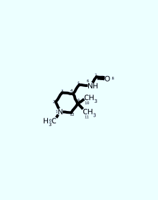 CN1CCC(CNC=O)C(C)(C)C1